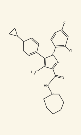 Cc1c(C(=O)NN2CCCCCC2)nn(-c2ccc(Cl)cc2Cl)c1C1=CCC(C2CC2)C=C1